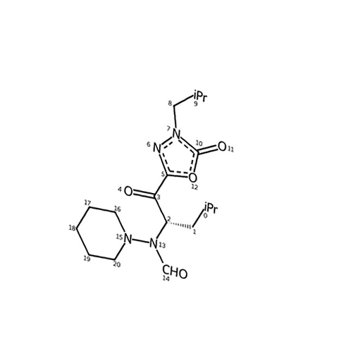 CC(C)C[C@@H](C(=O)c1nn(CC(C)C)c(=O)o1)N(C=O)N1CCCCC1